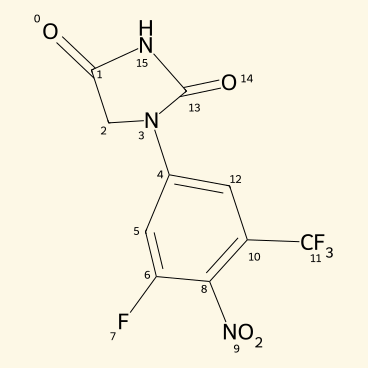 O=C1CN(c2cc(F)c([N+](=O)[O-])c(C(F)(F)F)c2)C(=O)N1